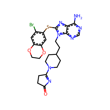 Nc1ncnc2c1nc(Sc1cc3c(cc1Br)OCCO3)n2CCC1CCN(C2=NC(=O)CC2)CC1